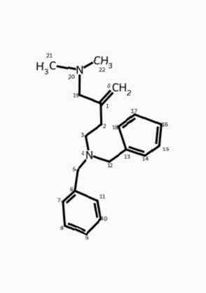 C=C(CCN(Cc1ccccc1)Cc1ccccc1)CN(C)C